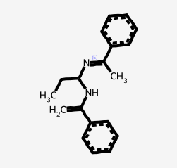 C=C(NC(CC)/N=C(\C)c1ccccc1)c1ccccc1